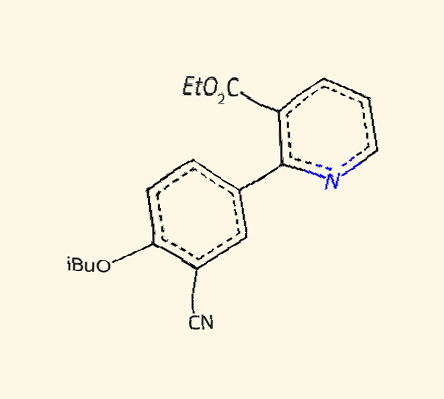 CCOC(=O)c1cccnc1-c1ccc(OCC(C)C)c(C#N)c1